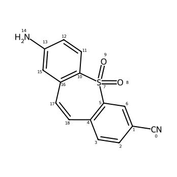 N#Cc1ccc2c(c1)S(=O)(=O)c1ccc(N)cc1C=C2